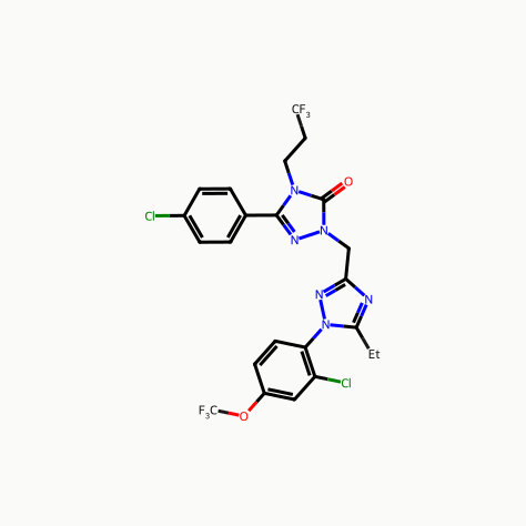 CCc1nc(Cn2nc(-c3ccc(Cl)cc3)n(CCC(F)(F)F)c2=O)nn1-c1ccc(OC(F)(F)F)cc1Cl